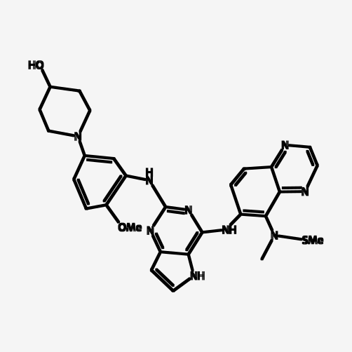 COc1ccc(N2CCC(O)CC2)cc1Nc1nc(Nc2ccc3nccnc3c2N(C)SC)c2[nH]ccc2n1